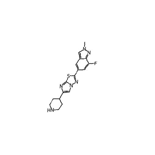 Cn1cc2cc(-c3nn4cc(C5CCNCC5)nc4s3)cc(F)c2n1